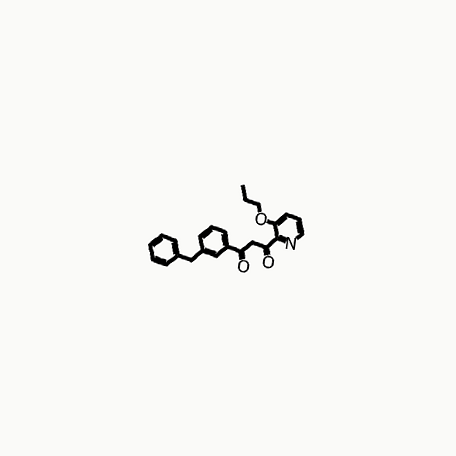 CCCOc1cccnc1C(=O)CC(=O)c1cccc(Cc2ccccc2)c1